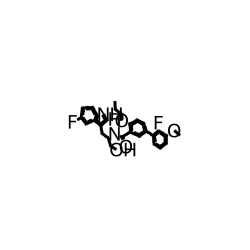 CCCOc1ccc(-c2cccc(OC)c2F)cc1C(=O)NC(CO)Cc1c[nH]c2ccc(F)cc12